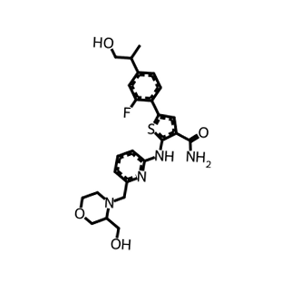 CC(CO)c1ccc(-c2cc(C(N)=O)c(Nc3cccc(CN4CCOCC4CO)n3)s2)c(F)c1